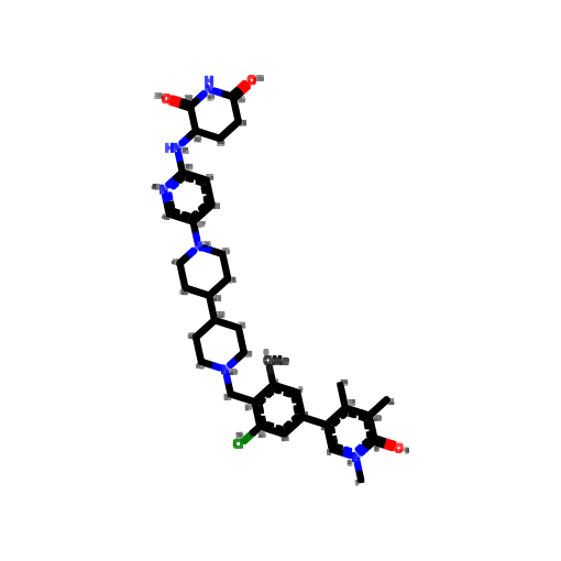 COc1cc(-c2cn(C)c(=O)c(C)c2C)cc(Cl)c1CN1CCC(C2CCN(c3ccc(NC4CCC(=O)NC4=O)nc3)CC2)CC1